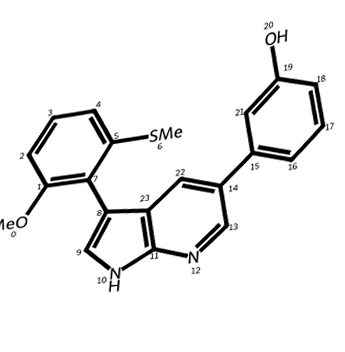 COc1cccc(SC)c1-c1c[nH]c2ncc(-c3cccc(O)c3)cc12